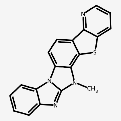 Cn1c2c3sc4cccnc4c3ccc2n2c3ccccc3nc12